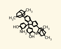 CC12CC3CC(C)(C1)CC(c1ccc4c(c1)C(c1ccc(O)c(N)c1)(c1ccc(O)c(N)c1)c1cc(C56CC7CC(C)(CC(C)(C7)C5)C6)ccc1-4)(C3)C2